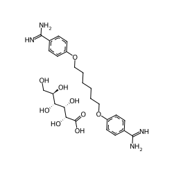 N=C(N)c1ccc(OCCCCCCOc2ccc(C(=N)N)cc2)cc1.O=C(O)[C@H](O)[C@@H](O)[C@H](O)[C@H](O)CO